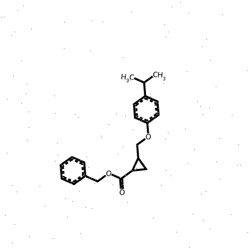 CC(C)c1ccc(OCC2CC2C(=O)OCc2ccccc2)cc1